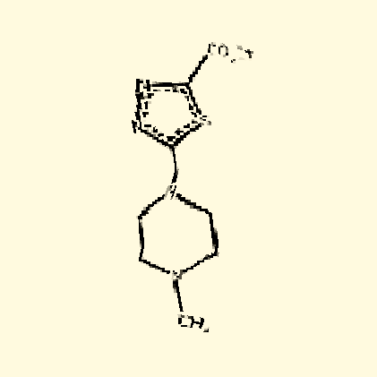 CCOC(=O)c1nnc(N2CCN(C)CC2)s1